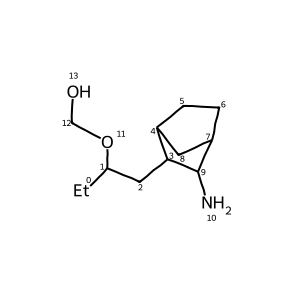 CCC(CC1C2CCC(C2)C1N)OCO